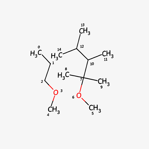 CCCOC.COC(C)(C)C(C)C(C)C